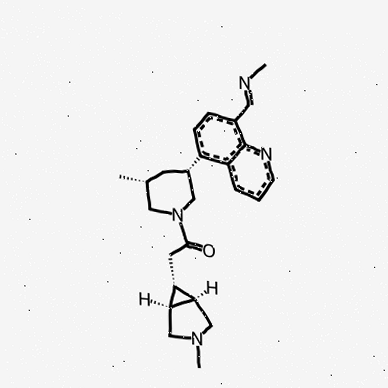 C/N=C/c1ccc([C@H]2C[C@@H](C)CN(C(=O)C[C@@H]3[C@H]4CN(C)C[C@@H]34)C2)c2cccnc12